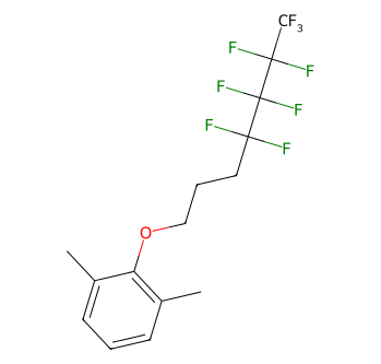 Cc1cccc(C)c1OCCCC(F)(F)C(F)(F)C(F)(F)C(F)(F)F